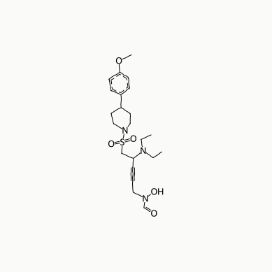 CCN(CC)C(C#CCN(O)C=O)CS(=O)(=O)N1CCC(c2ccc(OC)cc2)CC1